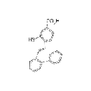 O=C(O)c1ccc(C=Cc2ccccc2-c2ccccc2)c(S)c1